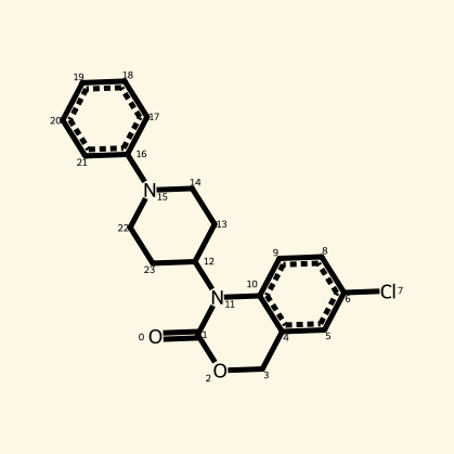 O=C1OCc2cc(Cl)ccc2N1C1CCN(c2ccccc2)CC1